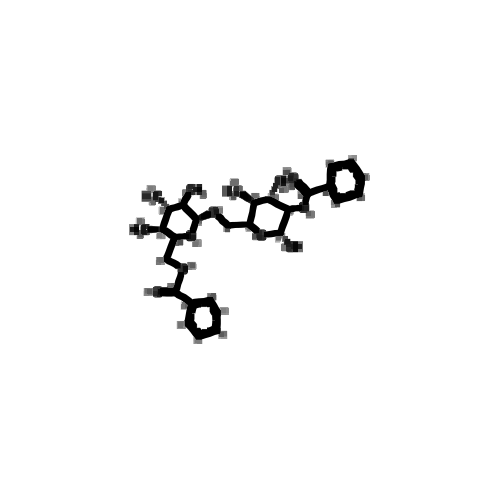 CC1[C@@H](OCC2O[C@@H](O)C(OC(=O)c3ccccc3)[C@@H](C)[C@@H]2C)OC(COC(=O)c2ccccc2)[C@@H](C)[C@@H]1C